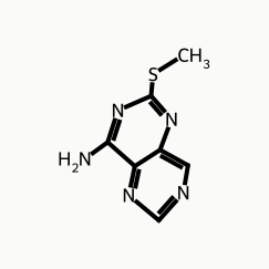 CSc1nc(N)c2ncncc2n1